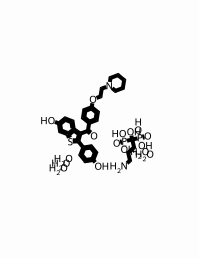 NCCCC(O)(P(=O)(O)O)P(=O)(O)O.O.O.O.O.O.O=C(c1ccc(OCCN2CCCCC2)cc1)c1c(-c2ccc(O)cc2)sc2cc(O)ccc12